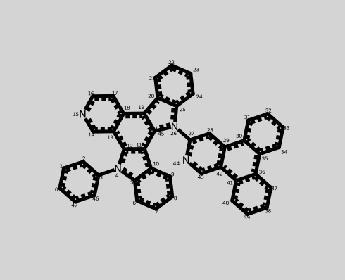 c1ccc(-n2c3ccccc3c3c2c2cnccc2c2c4ccccc4n(-c4cc5c6ccccc6c6ccccc6c5cn4)c23)cc1